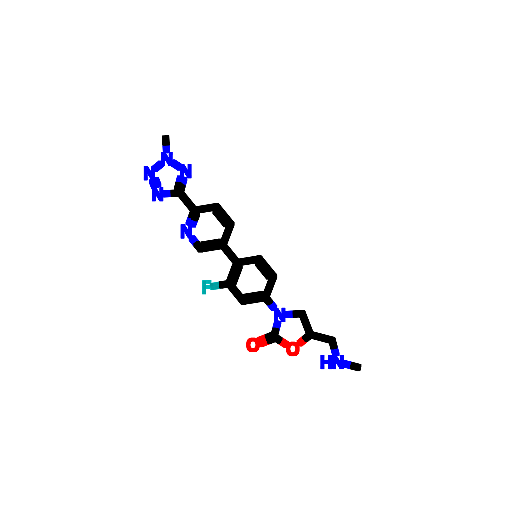 CNCC1CN(c2ccc(-c3ccc(-c4nnn(C)n4)nc3)c(F)c2)C(=O)O1